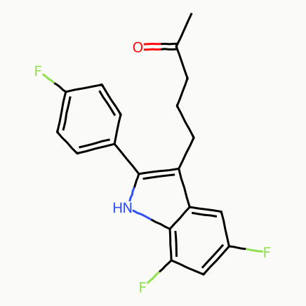 CC(=O)CCCc1c(-c2ccc(F)cc2)[nH]c2c(F)cc(F)cc12